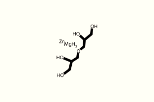 OCC(O)COCC(O)CO.[MgH2].[Zn]